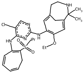 CCOC1=C(Nc2ncc(Cl)c(NC3=C(S(=O)(=O)C(C)C)CC=CC=C3)n2)C=C2CCNC(C)(C)C(=C1)C2